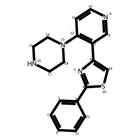 c1ccc(-c2nc(-c3cnccc3N3CCNCC3)cs2)cc1